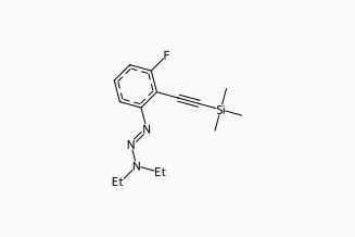 CCN(CC)N=Nc1cccc(F)c1C#C[Si](C)(C)C